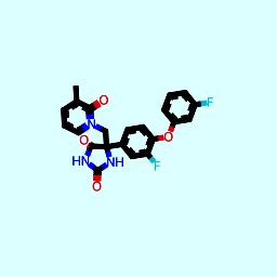 Cc1cccn(CC2(c3ccc(Oc4cccc(F)c4)c(F)c3)NC(=O)NC2=O)c1=O